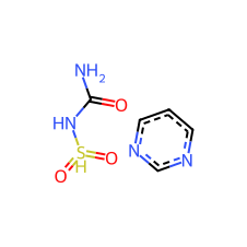 NC(=O)N[SH](=O)=O.c1cncnc1